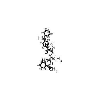 CCN(CCN(C)C(=O)Nc1ccccc1SC)C(=O)c1ccc(Nc2ccncc2)cc1